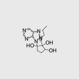 CCCSC1(O)C(O)CCC1(O)n1nnc2cncnc21